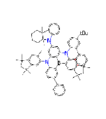 Cc1cc2c(cc1N1c3ccc(-c4ccccc4)cc3B3c4cc5c(cc4N(c4ccc(C(C)(C)C)cc4-c4ccccc4)c4cc(N6c7ccccc7C7(C)CCCCC67C)cc1c43)C(C)(C)CC5(C)C)C(C)(C)CC2(C)C